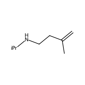 C=C(C)CCNC(C)C